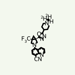 [2H]C([2H])([2H])N1CCC(c2nnc([C@@]34CN(c5ccc(C#N)c6ncccc56)C[C@]3(C(F)(F)F)C4)o2)CC1